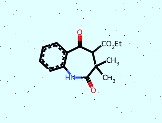 CCOC(=O)C1C(=O)c2ccccc2NC(=O)C1(C)C